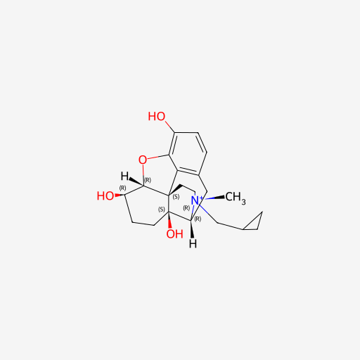 C[N@+]1(CC2CC2)CC[C@]23c4c5ccc(O)c4O[C@H]2[C@H](O)CC[C@@]3(O)[C@H]1C5